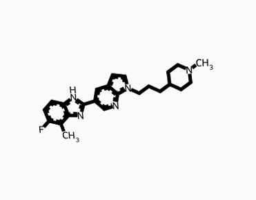 Cc1c(F)ccc2[nH]c(-c3cnc4c(ccn4CCCC4CCN(C)CC4)c3)nc12